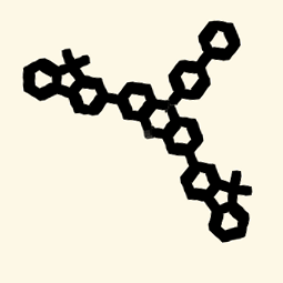 CC1(C)c2ccccc2-c2ccc(-c3ccc4c(c3)Oc3cc(-c5ccc6c(c5)C(C)(C)c5ccccc5-6)ccc3N4c3ccc(-c4ccccc4)cc3)cc21